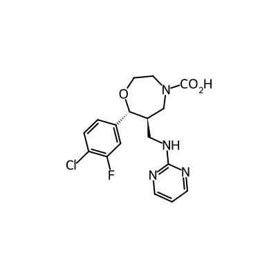 O=C(O)N1CCO[C@@H](c2ccc(Cl)c(F)c2)[C@H](CNc2ncccn2)C1